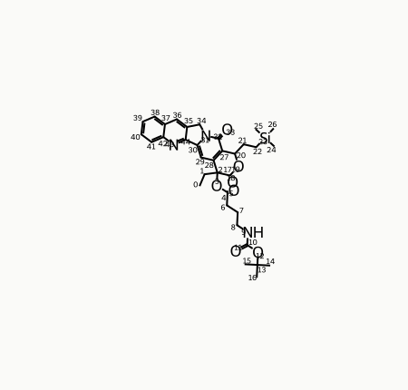 CCC1(OC(=O)CCCNC(=O)OC(C)(C)C)C(=O)OC(CC[Si](C)(C)C)c2c1cc1n(c2=O)Cc2cc3ccccc3nc2-1